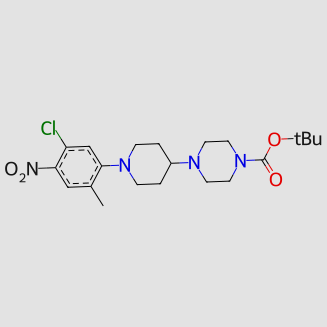 Cc1cc([N+](=O)[O-])c(Cl)cc1N1CCC(N2CCN(C(=O)OC(C)(C)C)CC2)CC1